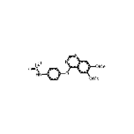 COc1cc2ncnc(Oc3ccc(N[SH](=O)=O)cc3)c2cc1OC